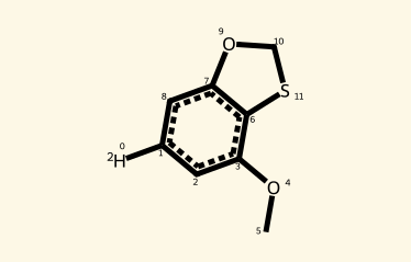 [2H]c1cc(OC)c2c(c1)OCS2